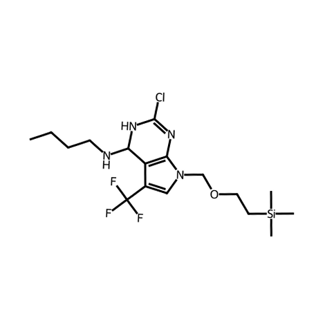 CCCCNC1NC(Cl)=Nc2c1c(C(F)(F)F)cn2COCC[Si](C)(C)C